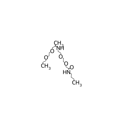 C=C(COCCOCCC)NCCOCCOCC(=O)NCCCC